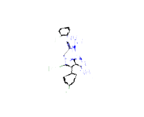 N=N/C(=C\Nc1ccccc1F)Cn1c(Br)c(-c2ccc(Cl)cc2)c2c(N)ncnc21